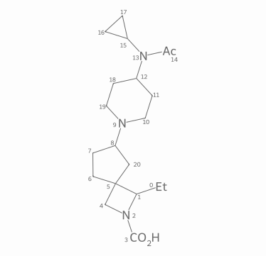 CCC1N(C(=O)O)CC12CCC(N1CCC(N(C(C)=O)C3CC3)CC1)C2